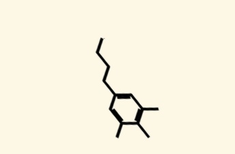 [CH2]CCCc1cc(C)c(C)c(C)c1